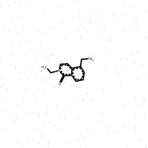 CCc1cccc2c(=O)n(CC)ccc12